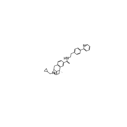 C=C(NCCc1ccc(-c2ccccn2)cc1)c1ccc2c(c1)[C@@]1(C)CCN(CC3CC3)C(C2)[C@@H]1C